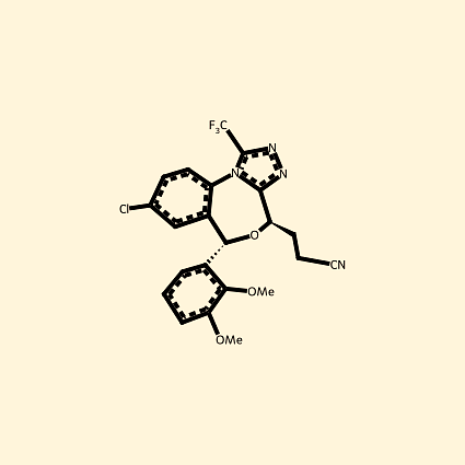 COc1cccc([C@H]2O[C@H](CCC#N)c3nnc(C(F)(F)F)n3-c3ccc(Cl)cc32)c1OC